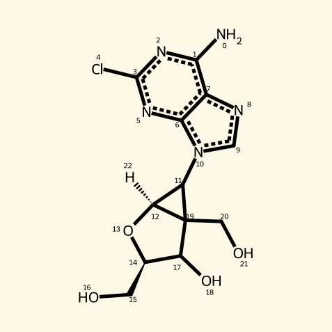 Nc1nc(Cl)nc2c1ncn2C1[C@@H]2O[C@H](CO)C(O)C12CO